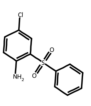 Nc1ccc(Cl)cc1S(=O)(=O)c1ccccc1